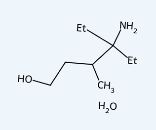 CCC(N)(CC)C(C)CCO.O